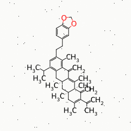 C=C(C)C1=C(C)C[C@@]2(C)C[C@@]3(C)Cc4c(C(C)C)cc(CCc5ccc6c(c5)OCO6)c(C)c4C(=C)C3=C(C)[C@@]2(C)C1=C